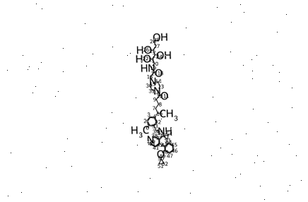 Cc1ccc(C(C)CCCC(=O)N2CCN(CC(=O)NC[C@H](O)[C@@H](O)[C@H](O)CCO)CC2)cc1CNC1(c2cnccc2-c2ccccc2OC2CC2)CC1